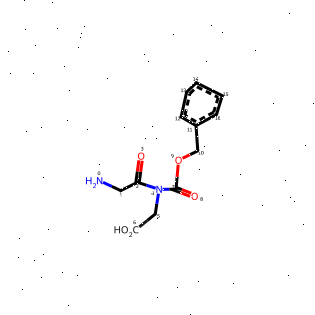 NCC(=O)N(CC(=O)O)C(=O)OCc1ccccc1